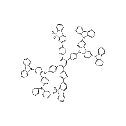 O=S1(=O)c2ccccc2-c2ccc(-c3ccc(-c4cc(-c5ccc(-n6c7ccc(-n8c9ccccc9c9ccccc98)cc7c7cc(-n8c9ccccc9c9ccccc98)ccc76)cc5)c(-c5ccc(-c6ccc7c(c6)S(=O)(=O)c6ccccc6-7)cc5)cc4-c4ccc(-n5c6ccc(-n7c8ccccc8c8ccccc87)cc6c6cc(-n7c8ccccc8c8ccccc87)ccc65)cc4)cc3)cc21